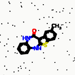 Cc1ccc2sc3c(c2c1)C(=O)Nc1ccccc1N3